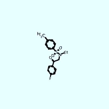 CCN(CC(=O)c1ccc(F)cc1)S(=O)(=O)c1ccc(C)cc1